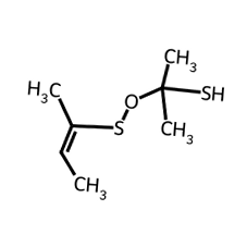 CC=C(C)SOC(C)(C)S